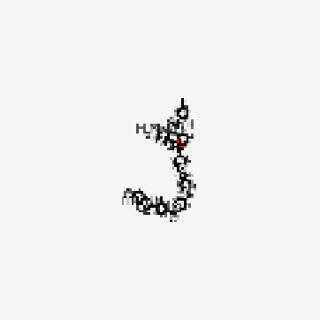 [2H]c1nc(-c2cnn(C3CCN(C4CC5(CCN(CC6CCN(C(=O)c7ccc(C(=O)NC8CCC(=O)NC8=O)cc7)CC6)CC5)C4)CC3)c2)c([C@H](C(=O)Nc2ccc(F)cc2)c2ccccc2)nc1N